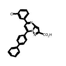 O=C(O)c1cc2nc(-c3cccc(Cl)c3)cc(-c3ccc(-c4ccccc4)cc3)n2n1